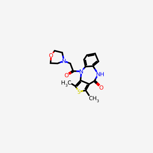 Cc1sc(C)c2c1C(=O)Nc1ccccc1N2C(=O)CN1CCOCC1